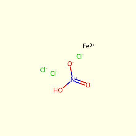 O=[N+]([O-])O.[Cl-].[Cl-].[Cl-].[Fe+3]